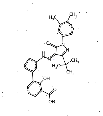 Cc1ccc(N2N=C(C(C)(C)C)/C(=N/Nc3cccc(-c4cccc(C(=O)O)c4O)c3)C2=O)cc1C